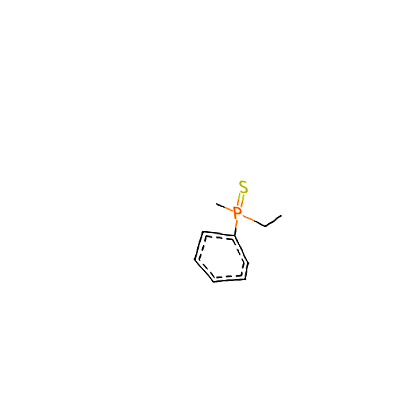 CCP(C)(=S)c1ccccc1